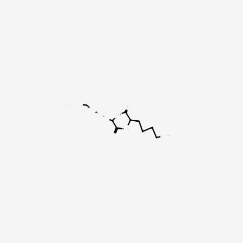 CCCCCC1OC(=O)C(CCCCC)OC1=O